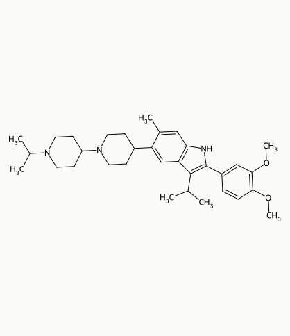 COc1ccc(-c2[nH]c3cc(C)c(C4CCN(C5CCN(C(C)C)CC5)CC4)cc3c2C(C)C)cc1OC